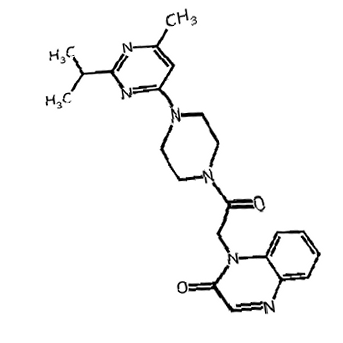 Cc1cc(N2CCN(C(=O)Cn3c(=O)cnc4ccccc43)CC2)nc(C(C)C)n1